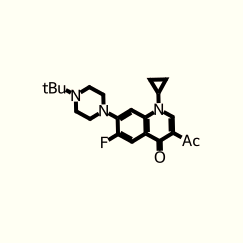 CC(=O)c1cn(C2CC2)c2cc(N3CCN(C(C)(C)C)CC3)c(F)cc2c1=O